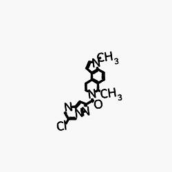 CC1c2ccc3c(ccn3C)c2CCN1C(=O)c1cc2ncc(Cl)cn2n1